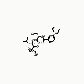 CCN(CC)c1cccc(C(=O)N[C@@H](CO)C(=O)N[C@@H](CC(C)C)C(=O)[C@]2(CO)CO2)c1